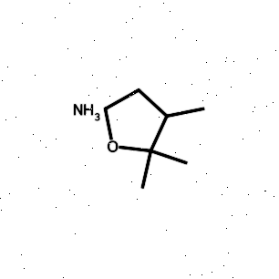 CC1CCOC1(C)C.N